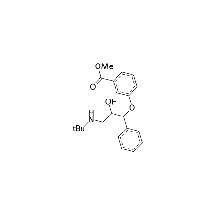 COC(=O)c1cccc(OC(c2ccccc2)C(O)CNC(C)(C)C)c1